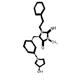 CN1C(=N)N(CCC2CCCCC2)[C@H](C[C@@H]2CCC[C@H](N3CC[C@@H](O)C3)C2)C1=O